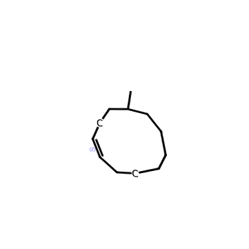 CC1CC/C=C\CCCCCC1